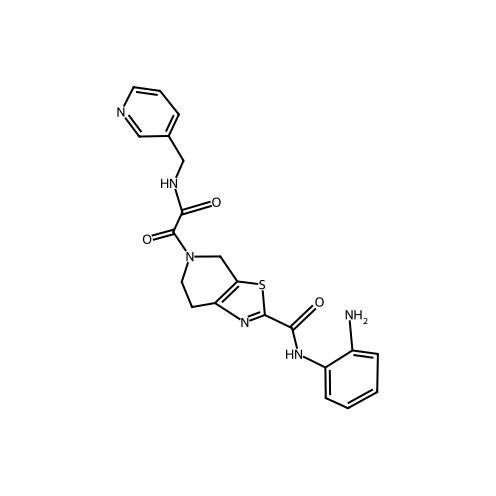 Nc1ccccc1NC(=O)c1nc2c(s1)CN(C(=O)C(=O)NCc1cccnc1)CC2